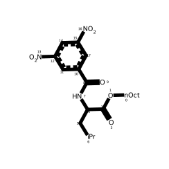 CCCCCCCCOC(=O)C(CC(C)C)NC(=O)c1cc([N+](=O)[O-])cc([N+](=O)[O-])c1